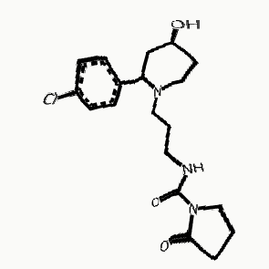 O=C1CCCN1C(=O)NCCCN1CCC(O)CC1c1ccc(Cl)cc1